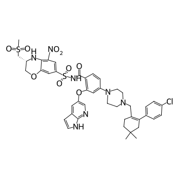 CC1(C)CCC(CN2CCN(c3ccc(C(=O)NS(=O)(=O)c4cc5c(c([N+](=O)[O-])c4)N[C@@H](CS(C)(=O)=O)CO5)c(Oc4cnc5[nH]ccc5c4)c3)CC2)=C(c2ccc(Cl)cc2)C1